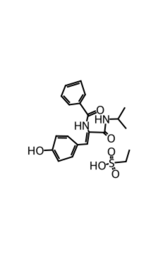 CC(C)NC(=O)/C(=C/c1ccc(O)cc1)NC(=O)c1ccccc1.CCS(=O)(=O)O